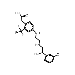 O=C(O)Cc1ccc(NCCNCC(O)c2cccc(Cl)c2)cc1C(F)(F)F